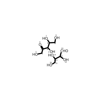 O=C(CO)C(O)C(O)CO.O=CC(O)C(O)CO